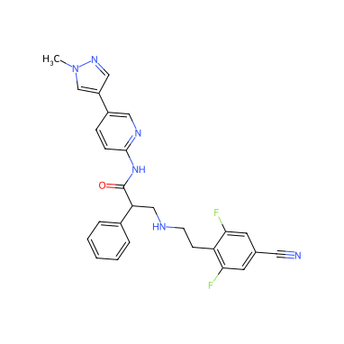 Cn1cc(-c2ccc(NC(=O)C(CNCCc3c(F)cc(C#N)cc3F)c3ccccc3)nc2)cn1